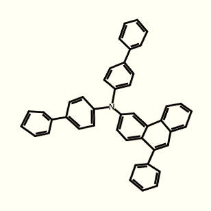 c1ccc(-c2ccc(N(c3ccc(-c4ccccc4)cc3)c3ccc4c(-c5ccccc5)cc5ccccc5c4c3)cc2)cc1